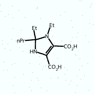 CCCC1(CC)NC(C(=O)O)=C(C(=O)O)N1CC